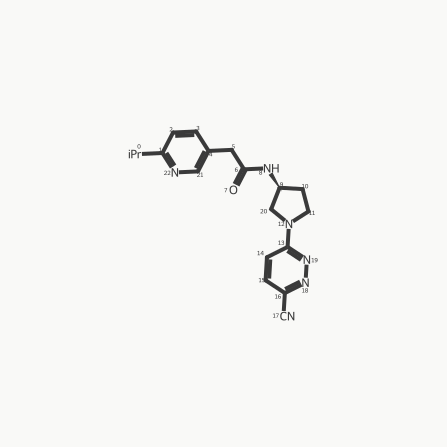 CC(C)c1ccc(CC(=O)N[C@H]2CCN(c3ccc(C#N)nn3)C2)cn1